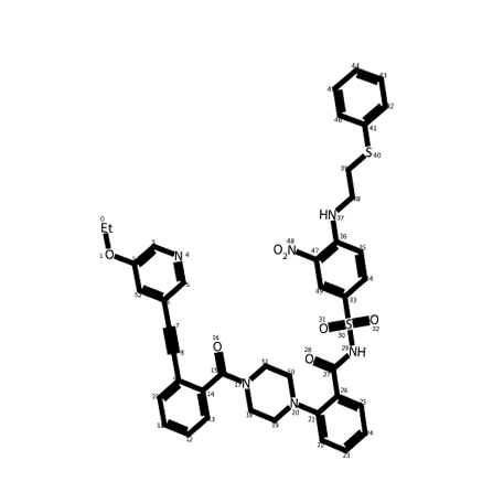 CCOc1cncc(C#Cc2ccccc2C(=O)N2CCN(c3ccccc3C(=O)NS(=O)(=O)c3ccc(NCCSc4ccccc4)c([N+](=O)[O-])c3)CC2)c1